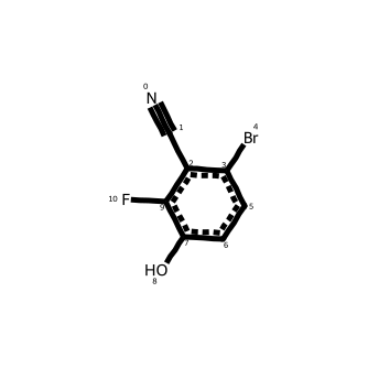 N#Cc1c(Br)ccc(O)c1F